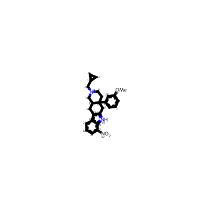 COc1cccc(C23CCN(CC4CC4)CC2Cc2c([nH]c4c([N+](=O)[O-])cccc24)C3)c1